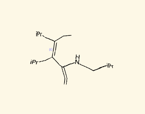 C=C(NCC(C)C)/C(=C(\C)C(C)C)C(C)C